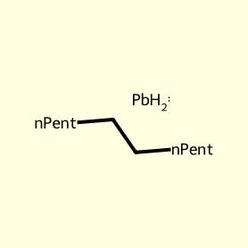 CCCCCCCCCCCC.[PbH2]